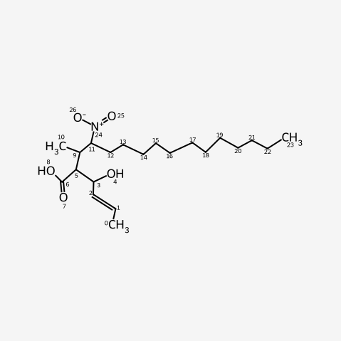 CC=CC(O)C(C(=O)O)C(C)C(CCCCCCCCCCCC)[N+](=O)[O-]